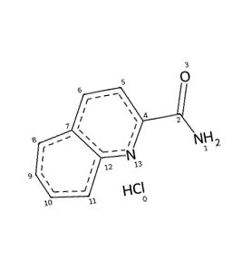 Cl.NC(=O)c1ccc2ccccc2n1